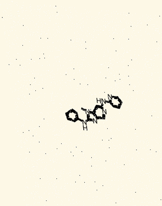 Cn1c(Nc2ccccc2)nc2cnc(Nc3ccccn3)cc21